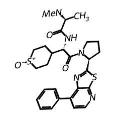 CN[C@@H](C)C(=O)N[C@H](C(=O)N1CCC[C@H]1c1nc2c(-c3ccccc3)ccnc2s1)C1CC[S+]([O-])CC1